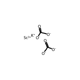 O=C([O-])[O-].O=C([O-])[O-].[K+].[Sc+3]